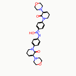 O=C1C(N2CCOCC2)=CCCN1c1ccc(/N=[N+](\O)c2ccc(N3CCC=C(N4CCOCC4)C3=O)cc2)cc1